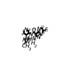 Cc1ncn(-c2ccncc2NC(=O)c2c(N)nn3cc(F)cnc23)n1